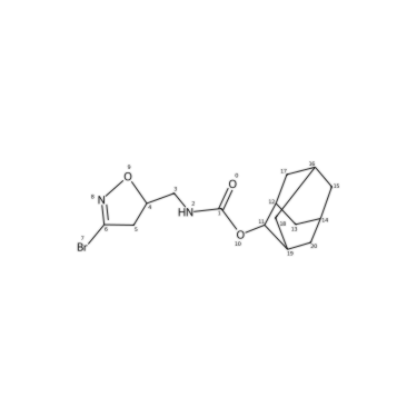 O=C(NCC1CC(Br)=NO1)OC1C2CC3CC(C2)CC1C3